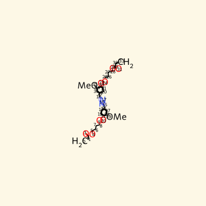 C=CC(=O)OCCCCOOc1ccc(/C=N/N=C/c2ccc(OOCCCCOC(=O)C=C)c(OC)c2)cc1OC